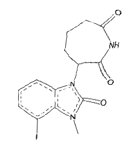 Cn1c(=O)n(C2CCCC(=O)NC2=O)c2cccc(I)c21